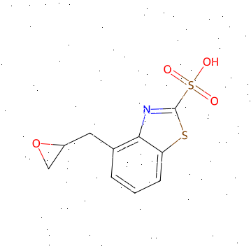 O=S(=O)(O)c1nc2c(CC3CO3)cccc2s1